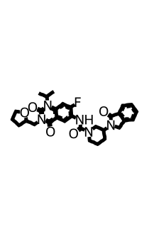 CC(C)n1c(=O)n(CC2CCCO2)c(=O)c2cc(NC(=O)N3CCCC(N4Cc5ccccc5C4=O)C3)c(F)cc21